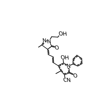 CC1=NN(CCO)C(=O)/C1=C\C=C\c1c(C)c(C#N)c(=O)n(-c2ccccc2)c1O